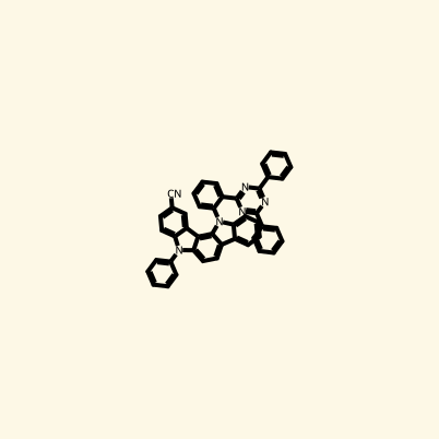 N#Cc1ccc2c(c1)c1c(ccc3c4ccccc4n(-c4ccccc4-c4nc(-c5ccccc5)nc(-c5ccccc5)n4)c31)n2-c1ccccc1